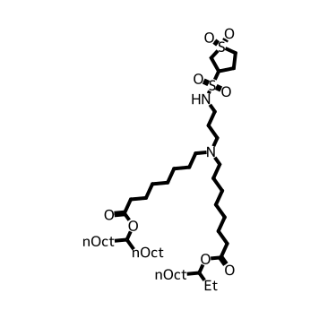 CCCCCCCCC(CC)OC(=O)CCCCCCCN(CCCCCCCC(=O)OC(CCCCCCCC)CCCCCCCC)CCCNS(=O)(=O)C1CCS(=O)(=O)C1